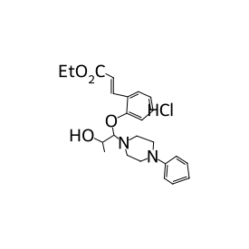 CCOC(=O)C=Cc1ccccc1OC(C(C)O)N1CCN(c2ccccc2)CC1.Cl